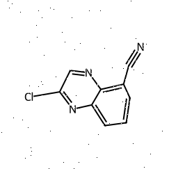 N#Cc1cccc2nc(Cl)cnc12